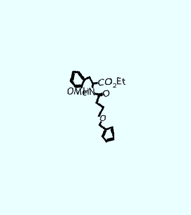 CCOC(=O)C(Cc1ccccc1OC)NC(=O)CCCOCc1ccccc1